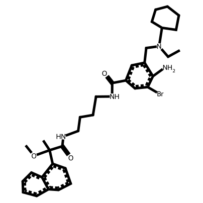 CCN(Cc1cc(C(=O)NCCCCNC(=O)C(C)(OC)c2cccc3ccccc23)cc(Br)c1N)C1CCCCC1